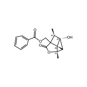 C[C@@H]1C2(COC(=O)c3ccccc3)C(=O)O[C@@]3(C)C4[C@]23[C@]41O